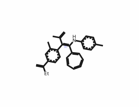 C=C(C)/C(=C(\Nc1ccc(C)cc1)C1=CC=C=CC=C1)c1ccc(C(=C)CC)cc1C